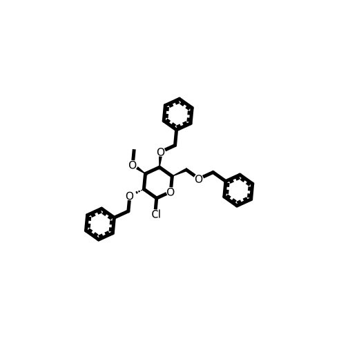 CO[C@H]1[C@@H](OCc2ccccc2)[C@@H](COCc2ccccc2)OC(Cl)[C@@H]1OCc1ccccc1